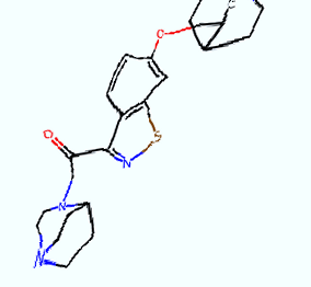 O=C(c1nsc2cc(OC3CN4CCC3CC4)ccc12)N1CCN2CCC1CC2